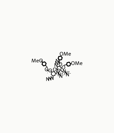 COc1ccc(CO[C@@H](C)O[C@@H]2CC(N=[N+]=[N-])CC(N=[N+]=[N-])[C@H]2O[C@H]2OC(CN=[N+]=[N-])[C@@H](OCc3ccc(OC)cc3)[C@H](OCc3ccc(OC)cc3)C2N=[N+]=[N-])cc1